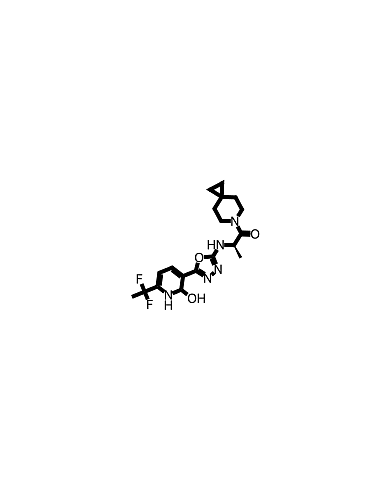 C[C@@H](Nc1nnc(C2=CC=C(C(C)(F)F)NC2O)o1)C(=O)N1CCC2(CC1)CC2